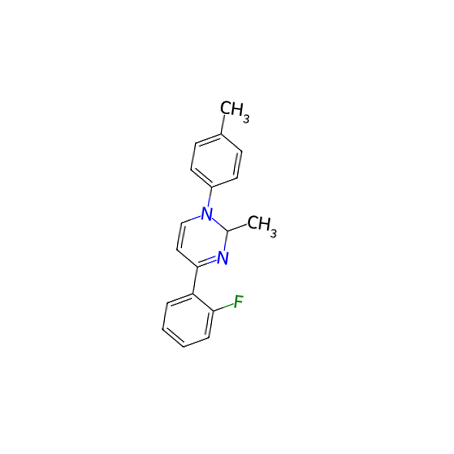 Cc1ccc(N2C=CC(c3ccccc3F)=NC2C)cc1